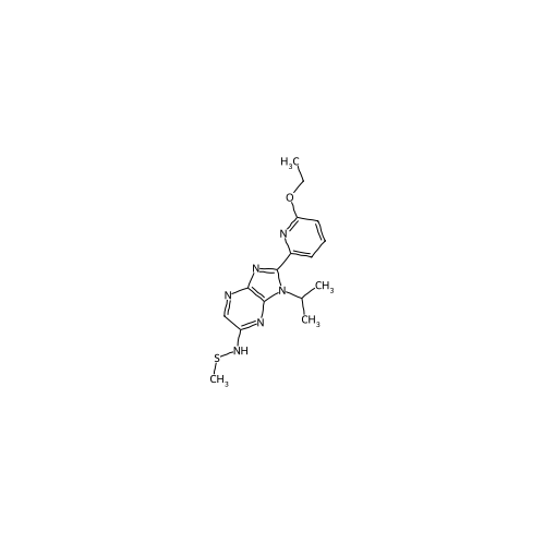 CCOc1cccc(-c2nc3ncc(NSC)nc3n2C(C)C)n1